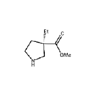 CC[C@@]1(C(=O)OC)CCNC1